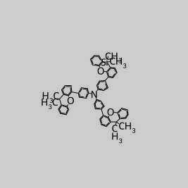 CC1(C)c2ccccc2Oc2c(-c3ccc(N(c4ccc(-c5cccc6c5Oc5ccccc5C6(C)C)cc4)c4ccc(-c5cccc6c5Oc5ccccc5[Si]6(C)C)cc4)cc3)cccc21